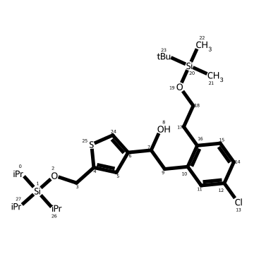 CC(C)[Si](OCc1cc(C(O)Cc2cc(Cl)ccc2CCO[Si](C)(C)C(C)(C)C)cs1)(C(C)C)C(C)C